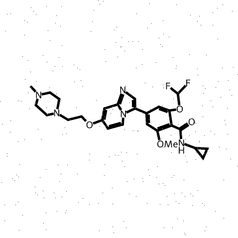 COc1cc(-c2cnc3cc(OCCN4CCN(C)CC4)ccn23)cc(OC(F)F)c1C(=O)NC1CC1